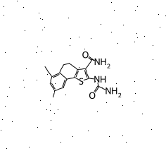 Cc1cc(C)c2c(c1)-c1sc(NC(N)=O)c(C(N)=O)c1CC2